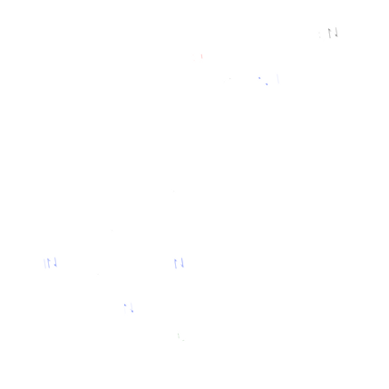 N#CCNC(=O)c1ccc(-c2nc(Cl)nc3[nH]ccc23)cc1